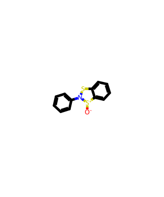 [O-][S+]1c2ccccc2SN1c1ccccc1